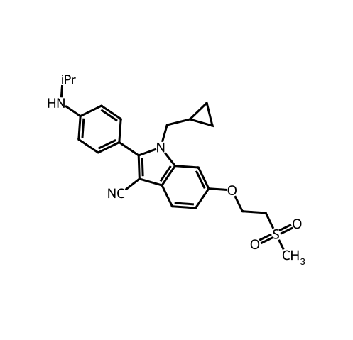 CC(C)Nc1ccc(-c2c(C#N)c3ccc(OCCS(C)(=O)=O)cc3n2CC2CC2)cc1